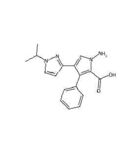 CC(C)n1ccc(-c2cn(N)c(C(=O)O)c2-c2ccccc2)n1